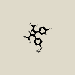 CSc1ccc(-c2c(C([O])=O)sc(C(=O)O)c2-c2ccc(F)cc2)cc1